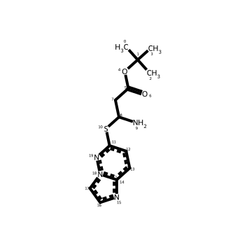 CC(C)(C)OC(=O)CC(N)Sc1ccc2nccn2n1